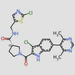 Cc1ncnc(C)c1-c1ccc2c(Cl)c(C(=O)N3CC[C@H](C(=O)NCc4cnc(Cl)s4)C3)[nH]c2c1